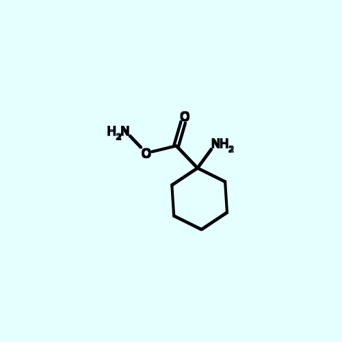 NOC(=O)C1(N)CCCCC1